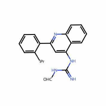 CC(C)c1ccccc1-c1cc(NC(=N)NC=O)c2ccccc2n1